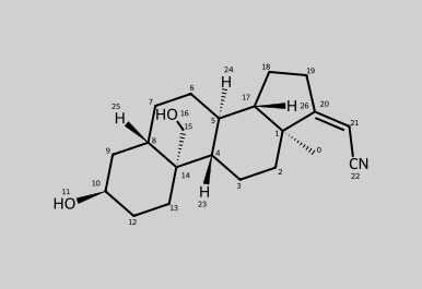 C[C@]12CC[C@H]3[C@@H](CC[C@H]4C[C@H](O)CC[C@@]43CO)[C@@H]1CC/C2=C/C#N